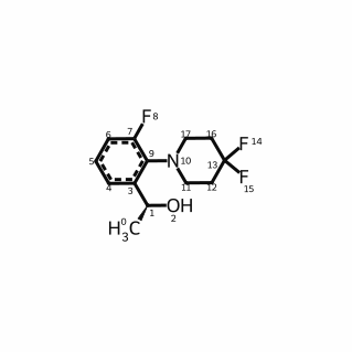 C[C@H](O)c1cccc(F)c1N1CCC(F)(F)CC1